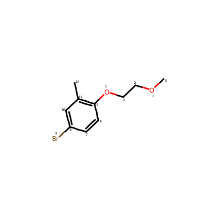 COCCOc1ccc(Br)cc1C